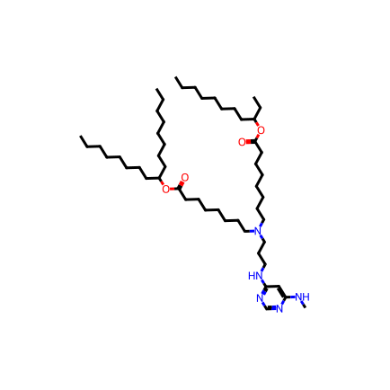 CCCCCCCCC(CC)OC(=O)CCCCCCCN(CCCCCCCC(=O)OC(CCCCCCCC)CCCCCCCC)CCCNc1cc(NC)ncn1